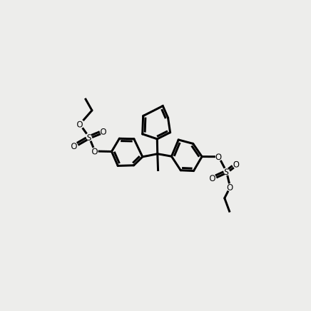 CCOS(=O)(=O)Oc1ccc(C(C)(c2ccccc2)c2ccc(OS(=O)(=O)OCC)cc2)cc1